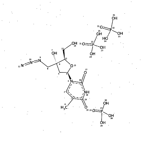 Cc1cn([C@H]2C[C@@](O)(CN=[N+]=[N-])[C@@H](CO)O2)c(=O)[nH]c1=O.O=P(O)(O)O.O=P(O)(O)O.O=P(O)(O)O